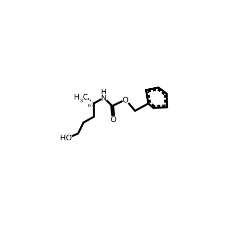 C[C@@H](CCCO)NC(=O)OCc1ccccc1